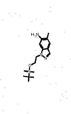 Cc1cc2cnn(CCO[Si](C)(C)C(C)(C)C)c2cc1N